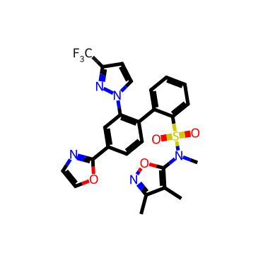 Cc1noc(N(C)S(=O)(=O)c2ccccc2-c2ccc(-c3ncco3)cc2-n2ccc(C(F)(F)F)n2)c1C